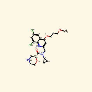 COCCCOc1cc(CN(C(=O)[C@H]2CNCCO2)C2CC2)nc2c(Cl)cc(Cl)cc12